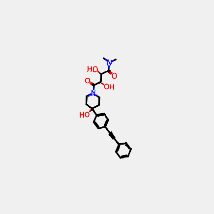 CN(C)C(=O)[C@H](O)[C@@H](O)C(=O)N1CCC(O)(c2ccc(C#Cc3ccccc3)cc2)CC1